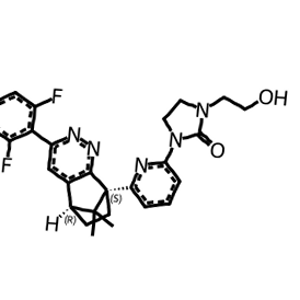 CC1(C)[C@H]2CC[C@]1(c1cccc(N3CCN(CCO)C3=O)n1)c1nnc(-c3c(F)cccc3F)cc12